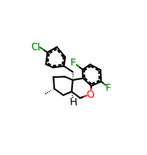 C[C@@H]1CC[C@@]2(Cc3ccc(Cl)cc3)c3c(F)ccc(F)c3OC[C@H]2C1